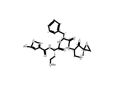 COCC[C@H](NC(=O)c1cc(C(C)C)on1)C(=O)N[C@@H](Cc1ccccc1)C(=O)NC(CC(C)C)C(=O)[C@@]1(C)CO1